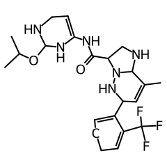 CC1=CC(C2=CCCC=C2C(F)(F)F)NN2C(C(=O)NC3=CCNC(OC(C)C)N3)CNC12